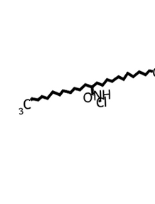 CCCCCCCCCCCCC(CCCCCCCCCCCC)C(=O)NCl